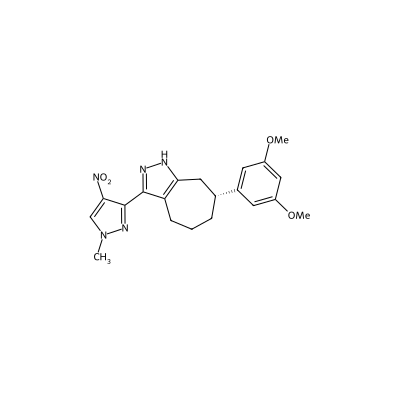 COc1cc(OC)cc([C@@H]2CCCc3c(-c4nn(C)cc4[N+](=O)[O-])n[nH]c3C2)c1